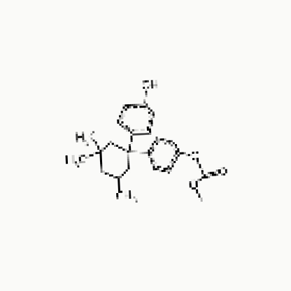 CC1CC(C)(C)CC(c2ccc(O)cc2)(c2ccc(OC(=O)OI)cc2)C1